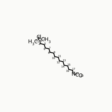 C[Si](C)(Cl)CCCCCCCCCCCCCCN=C=O